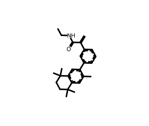 C=C(C(=O)NCC)c1cccc(-c2cc3c(cc2C)C(C)(C)CCC3(C)C)c1